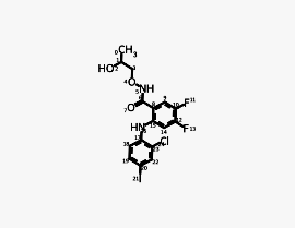 CC(O)CONC(=O)c1cc(F)c(F)cc1Nc1ccc(I)cc1Cl